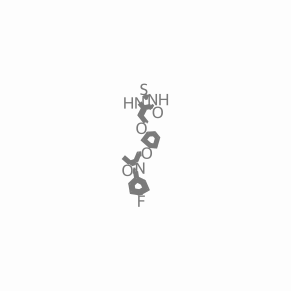 Cc1oc(-c2ccc(F)cc2)nc1CO[C@H]1CCC[C@@H](OCC=C2NC(=S)NC2=O)C1